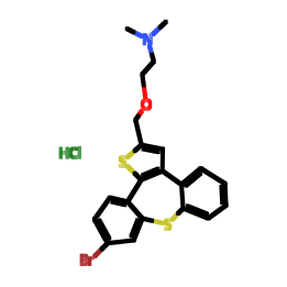 CN(C)CCOCc1cc2c(s1)-c1ccc(Br)cc1Sc1ccccc1-2.Cl